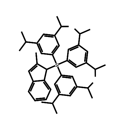 CC1=Cc2ccccc2[C]1[Si](c1cc(C(C)C)cc(C(C)C)c1)(c1cc(C(C)C)cc(C(C)C)c1)c1cc(C(C)C)cc(C(C)C)c1